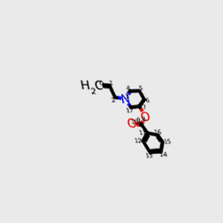 C=CCN1CCCC(OC(=O)c2ccccc2)C1